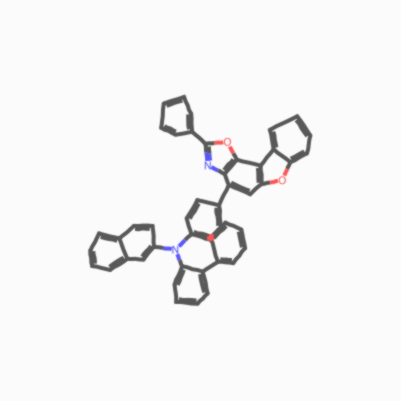 c1ccc(-c2nc3c(-c4ccc(N(c5ccc6ccccc6c5)c5ccccc5-c5ccccc5)cc4)cc4oc5ccccc5c4c3o2)cc1